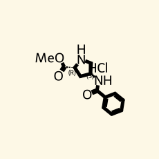 COC(=O)[C@H]1C[C@H](NC(=O)c2ccccc2)CN1.Cl